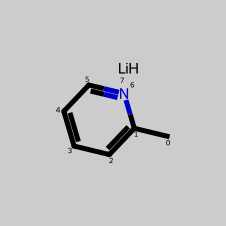 Cc1ccccn1.[LiH]